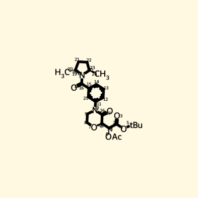 CC(=O)O[C@@H](C(=O)OC(C)(C)C)[C@H]1OCCN(c2cccc(C(=O)N3[C@H](C)CC[C@H]3C)c2)C1=O